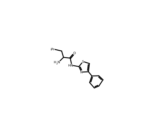 CC(C)CC(N)C(=O)Nc1nc(-c2ccccc2)cs1